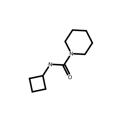 O=C([N]C1CCC1)N1CCCCC1